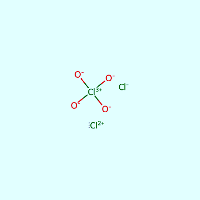 [Cl+2].[Cl-].[O-][Cl+3]([O-])([O-])[O-]